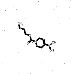 CCCCOC(=O)N1CC=C(B(O)O)CC1